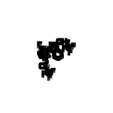 F[B-](F)(F)F.F[B-](F)(F)F.F[N+]12CC[N+](CCl)(CC1)CC2.On1nnc2ccccc21